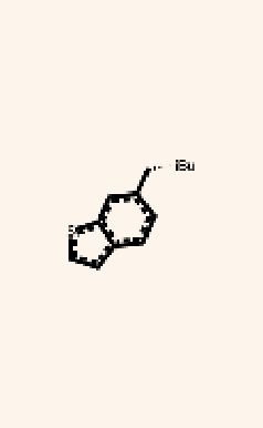 CC[C@@H](C)Cc1ccc2ccsc2c1